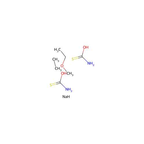 CC.CCOC.NC(O)=S.NC(O)=S.[NaH]